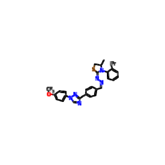 CC(C)c1ccccc1N1/C(=N\N=C/c2ccc(-c3ncn(-c4ccc(OC(F)(F)F)cc4)n3)cc2)SCC1C